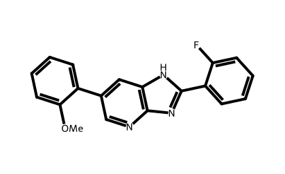 COc1ccccc1-c1cnc2nc(-c3ccccc3F)[nH]c2c1